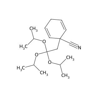 CC(C)OC(CC1(C#N)C=CCC=C1)(OC(C)C)OC(C)C